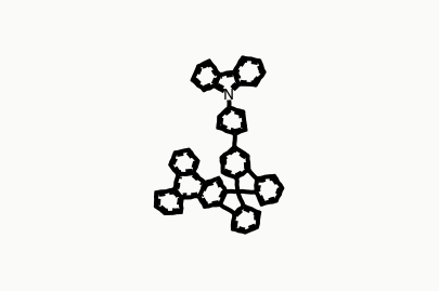 c1ccc2c(c1)-c1cc(-c3ccc(-n4c5ccccc5c5ccccc54)cc3)ccc1C21c2ccccc2-c2cc3c4ccccc4c4ccccc4c3cc21